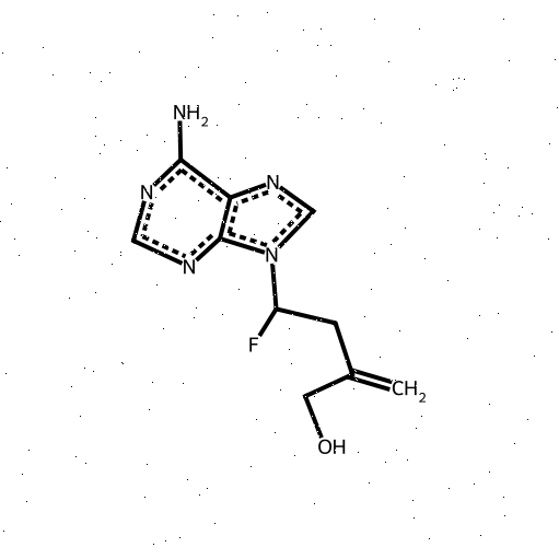 C=C(CO)CC(F)n1cnc2c(N)ncnc21